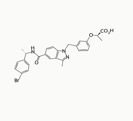 Cc1nn(Cc2cccc(O[C@H](C)C(=O)O)c2)c2ccc(C(=O)N[C@@H](C)c3ccc(Br)cc3)cc12